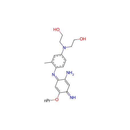 CCCOC1=CC(=Nc2ccc(N(CCO)CCO)cc2C)C(N)=CC1=N